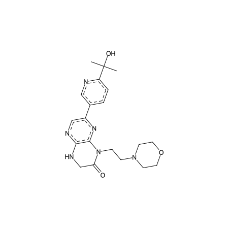 CC(C)(O)c1ccc(-c2cnc3c(n2)N(CCN2CCOCC2)C(=O)CN3)cn1